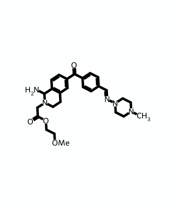 COCCOC(=O)CN1CCc2cc(C(=O)c3ccc(C=NN4CCN(C)CC4)cc3)ccc2C1N